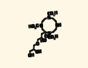 CC1(CC(O)COCC(O)CO)CN(C(=O)O)CCN(C(=O)O)CCNCCN1C(=O)O